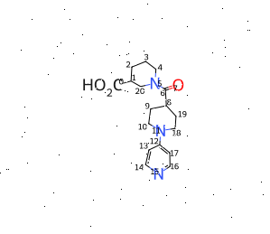 O=C(O)C1CCCN(C(=O)C2CCN(c3ccncc3)CC2)C1